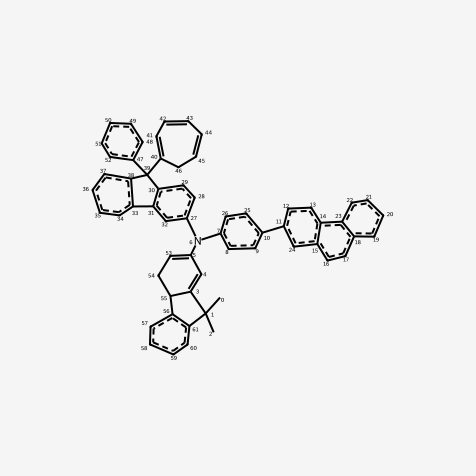 CC1(C)C2=CC(N(c3ccc(-c4ccc5c(ccc6ccccc65)c4)cc3)c3ccc4c(c3)-c3ccccc3C4(C3=CC=CC=CC3)c3ccccc3)=CCC2c2ccccc21